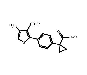 CCOC(=O)c1c(C)nsc1-c1ccc(C2(C(=O)OC)CC2)cc1